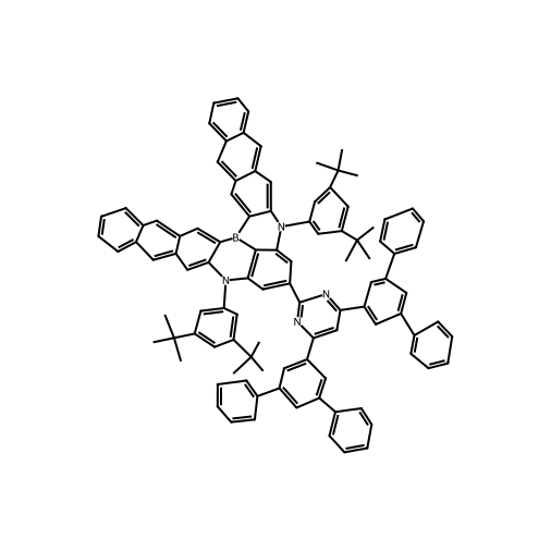 CC(C)(C)c1cc(N2c3cc4cc5ccccc5cc4cc3B3c4cc5cc6ccccc6cc5cc4N(c4cc(C(C)(C)C)cc(C(C)(C)C)c4)c4cc(-c5nc(-c6cc(-c7ccccc7)cc(-c7ccccc7)c6)cc(-c6cc(-c7ccccc7)cc(-c7ccccc7)c6)n5)cc2c43)cc(C(C)(C)C)c1